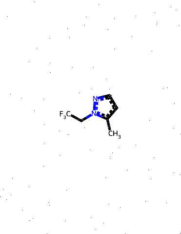 Cc1c[c]nn1CC(F)(F)F